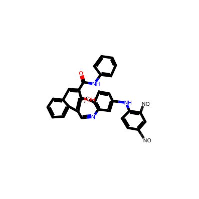 Cc1ccc(Nc2ccc(N=O)cc2N=O)cc1/N=C\c1c(O)c(C(=O)Nc2ccccc2)cc2ccccc12